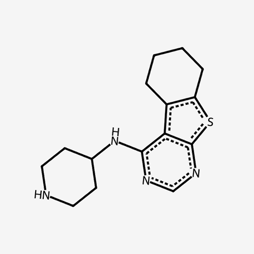 c1nc(NC2CCNCC2)c2c3c(sc2n1)CCCC3